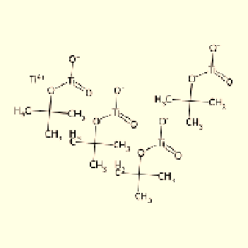 CC(C)(C)[O][Ti](=[O])[O-].CC(C)(C)[O][Ti](=[O])[O-].CC(C)(C)[O][Ti](=[O])[O-].CC(C)(C)[O][Ti](=[O])[O-].[Ti+4]